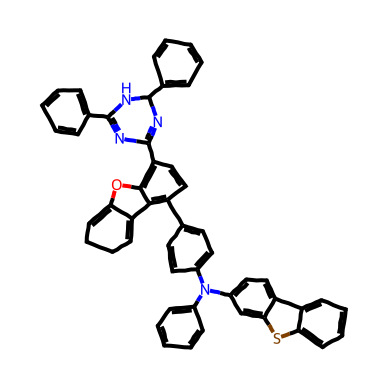 C1=c2oc3c(C4=NC(c5ccccc5)NC(c5ccccc5)=N4)ccc(-c4ccc(N(c5ccccc5)c5ccc6c(c5)sc5ccccc56)cc4)c3c2=CCC1